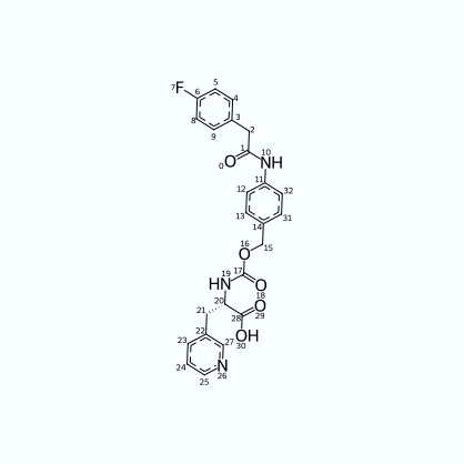 O=C(Cc1ccc(F)cc1)Nc1ccc(COC(=O)N[C@@H](Cc2cccnc2)C(=O)O)cc1